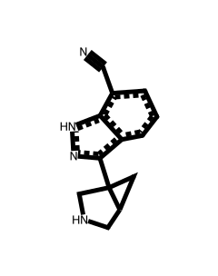 N#Cc1cccc2c(C34CNCC3C4)n[nH]c12